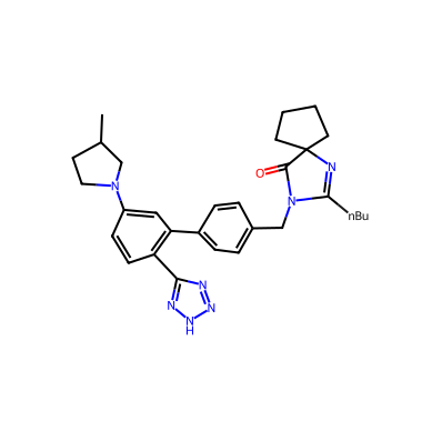 CCCCC1=NC2(CCCC2)C(=O)N1Cc1ccc(-c2cc(N3CCC(C)C3)ccc2-c2nn[nH]n2)cc1